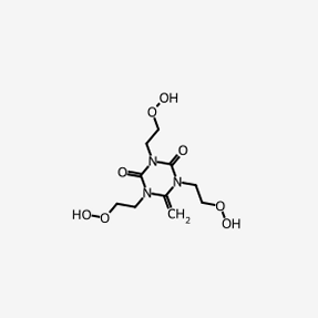 C=C1N(CCOO)C(=O)N(CCOO)C(=O)N1CCOO